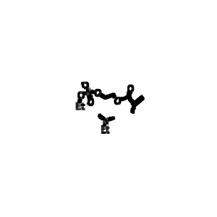 C=C(C)C(=O)OCCOS(=O)(=O)OCC.CCN(C)C